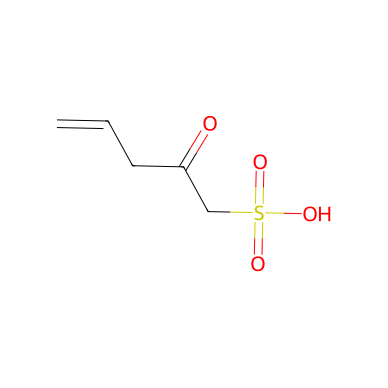 C=CCC(=O)CS(=O)(=O)O